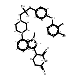 Cc1c(Br)cccc1Oc1ccc(CC(F)(F)CN2CCN(c3cccc4c(C5CCC(=O)NC5=O)nn(C)c34)CC2)cc1